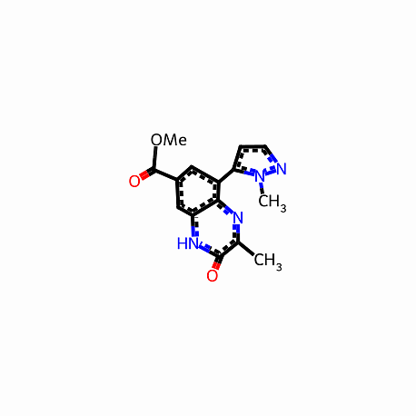 COC(=O)c1cc(-c2ccnn2C)c2nc(C)c(=O)[nH]c2c1